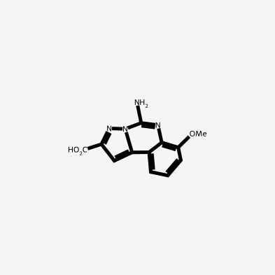 COc1cccc2c1nc(N)n1nc(C(=O)O)cc21